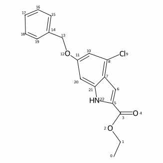 CCOC(=O)c1cc2c(Cl)cc(OCc3ccccc3)cc2[nH]1